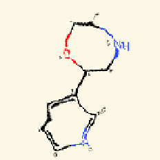 [c]1ccc(C2CNCCO2)cn1